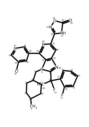 CC1CCC(Cn2c(C(C)(F)c3ccccc3F)nc3cc(-c4noc(=O)[nH]4)nc(-c4cncc(Cl)c4)c32)CC1